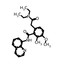 CCN(CC)C(=O)Cc1ccc(OC)c(C)c1C(=O)Nc1cccc2cccnc12